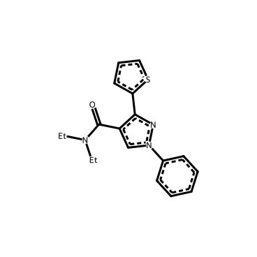 CCN(CC)C(=O)c1cn(-c2ccccc2)nc1-c1cccs1